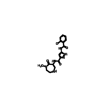 CN1CCNCC(NC(=O)c2cc(NC(=O)c3ccccc3Cl)[nH]n2)C1=O